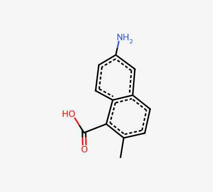 Cc1ccc2cc(N)ccc2c1C(=O)O